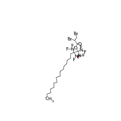 CCCCCCCCCCCCCCCCC(N(F)F)(N(F)F)C(OC(=O)C(Br)CBr)(N(F)F)N(F)F